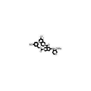 COC1COCCC1NC1CC2CN(C(=O)OCc3cccc(C#N)c3)CC2(C(=O)N2CCc3ncc(C(F)(F)F)cc3C2)C1